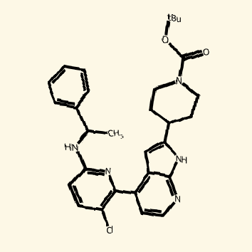 CC(Nc1ccc(Cl)c(-c2ccnc3[nH]c(C4CCN(C(=O)OC(C)(C)C)CC4)cc23)n1)c1ccccc1